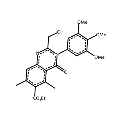 CCOC(=O)c1c(C)cc2nc(CO)n(-c3cc(OC)c(OC)c(OC)c3)c(=O)c2c1C